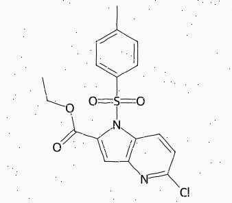 CCOC(=O)c1cc2nc(Cl)ccc2n1S(=O)(=O)c1ccc(C)cc1